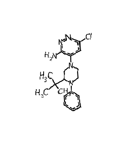 CC(C)(C)C1CN(c2cc(Cl)nnc2N)CCN1c1ccccc1